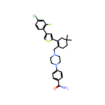 CC1(C)CCC(CN2CCN(c3ccc(C(N)=O)cc3)CC2)=C(c2cc(-c3ccc(Cl)cc3F)cs2)C1